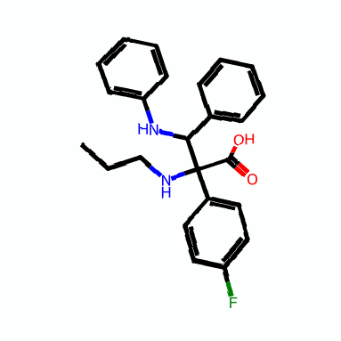 CCCNC(C(=O)O)(c1ccc(F)cc1)C(Nc1ccccc1)c1ccccc1